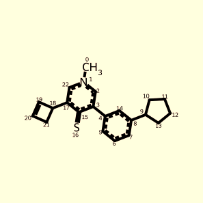 Cn1cc(-c2cccc(C3CCCC3)c2)c(=S)c(C2C=CC2)c1